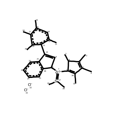 CC1=C(C)C(C)[C]([Zr+2]([CH]2C=C(c3c(C)cc(C)c(C)c3C)c3ccccc32)=[Si](C)C)=C1C.[Cl-].[Cl-]